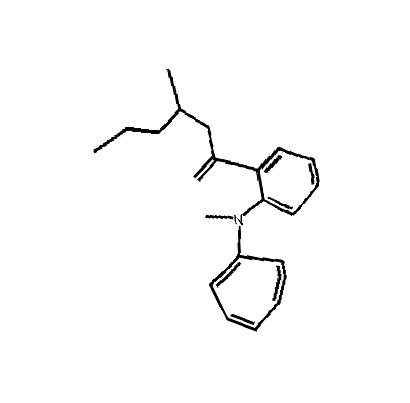 C=C(CC(C)CCC)c1ccccc1N(C)c1ccccc1